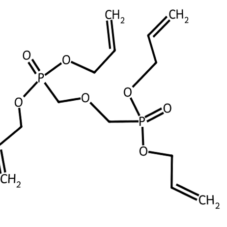 C=CCOP(=O)(COCP(=O)(OCC=C)OCC=C)OCC=C